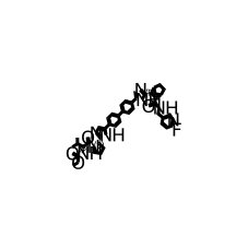 COC(=O)N[C@H](C(=O)N1CCC[C@H]1c1ncc(-c2ccc(-c3ccc(-c4cnc([C@@H]5C6CCC(C6)C5C(=O)NCc5ccc(F)nc5)[nH]4)cc3)cc2)[nH]1)C(C)C